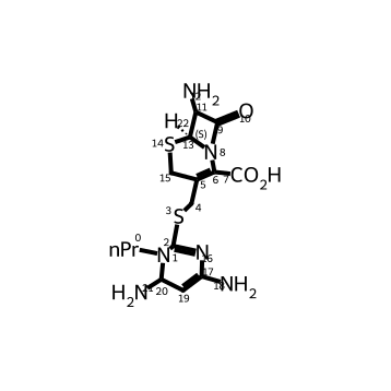 CCCN1C(SCC2=C(C(=O)O)N3C(=O)C(N)[C@@H]3SC2)=NC(N)=CC1N